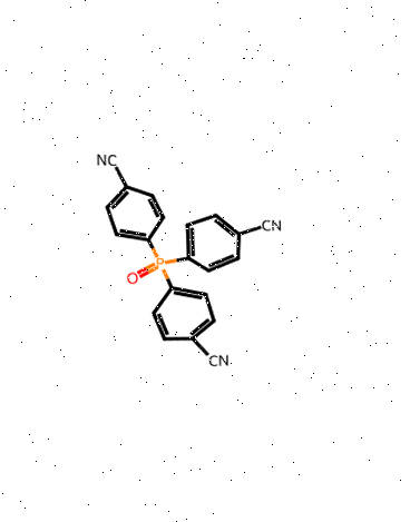 N#Cc1ccc(P(=O)(c2ccc(C#N)cc2)c2ccc(C#N)cc2)cc1